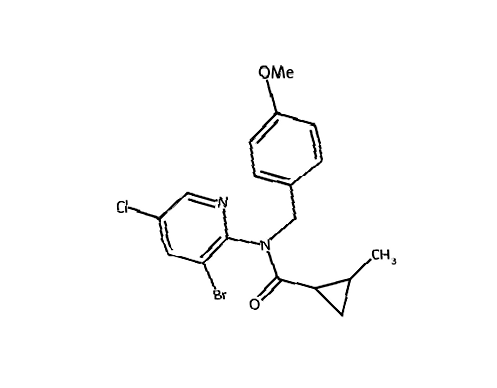 COc1ccc(CN(C(=O)C2CC2C)c2ncc(Cl)cc2Br)cc1